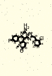 Cn1cc(-c2c(-c3ccc(F)cc3)nc(N)n3nc(Cc4ncccc4Cl)nc23)ccc1=O